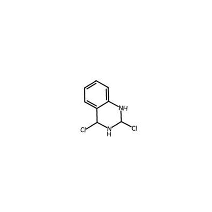 ClC1Nc2ccccc2C(Cl)N1